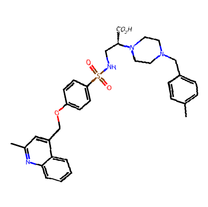 Cc1ccc(CN2CCN([C@@H](CNS(=O)(=O)c3ccc(OCc4cc(C)nc5ccccc45)cc3)C(=O)O)CC2)cc1